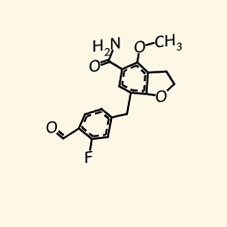 COc1c(C(N)=O)cc(Cc2ccc(C=O)c(F)c2)c2c1CCO2